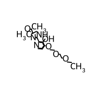 CCCOCCOCCOc1ccnc(C2=NC(C)(C(C)=O)CN2)c1O